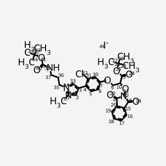 C[n+]1cc(-c2ccc(OCC(ON3C(=O)c4ccccc4C3=O)C(=O)OC(C)(C)C)cc2Cl)cn1CCCNC(=O)OC(C)(C)C.[I-]